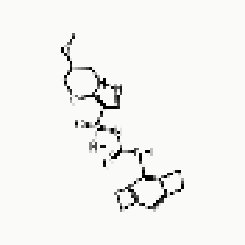 COC1COc2c(S(N)(=O)=NC(=O)Nc3c4c(cc5c3CC5)CC4)cnn2C1